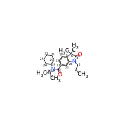 CCCN1C(=O)C(C)(C)c2ccc(C(=O)N(C(C)C)C3CCCCC3)cc21